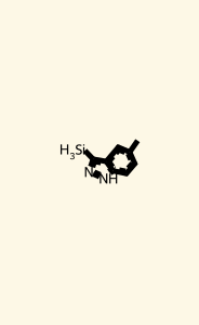 Cc1ccc2[nH]nc([SiH3])c2c1